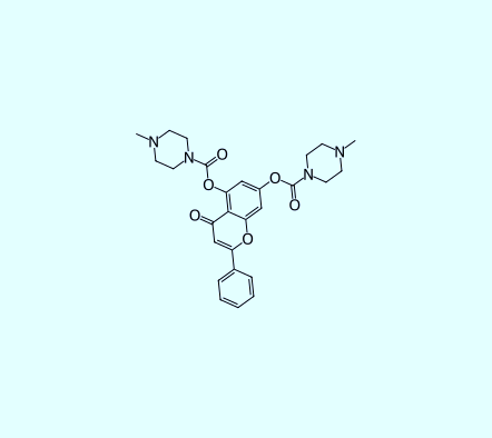 CN1CCN(C(=O)Oc2cc(OC(=O)N3CCN(C)CC3)c3c(=O)cc(-c4ccccc4)oc3c2)CC1